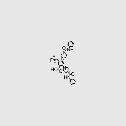 O=C(O)c1cc(CC(F)(F)F)c(N2CCN(C(=O)Nc3ccccc3)CC2)cc1N1CCN(C(=O)Nc2ccccc2)CC1